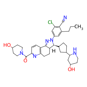 CCCc1cc(N2N=C3c4ccc(C(=O)N5CCC(O)CC5)nc4CC[C@@H]3[C@@H]2C2CCC(C3CC(O)CCN3)C2)cc(Cl)c1C#N